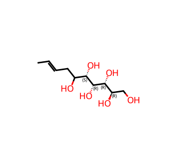 CC=CCC(O)[C@H](O)[C@@H](O)[C@H](O)[C@H](O)CO